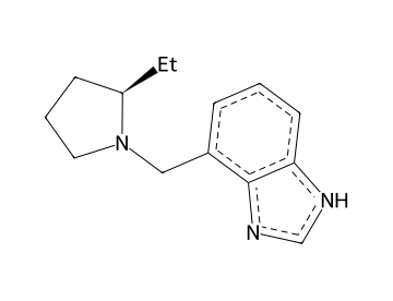 CC[C@@H]1CCCN1Cc1cccc2[nH]cnc12